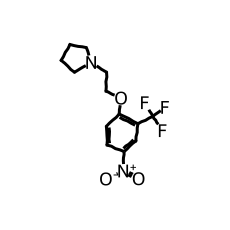 O=[N+]([O-])c1ccc(OCCN2CCCC2)c(C(F)(F)F)c1